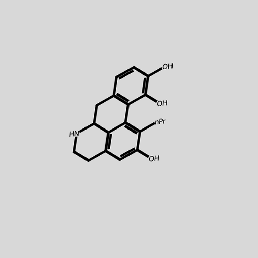 CCCc1c(O)cc2c3c1-c1c(ccc(O)c1O)CC3NCC2